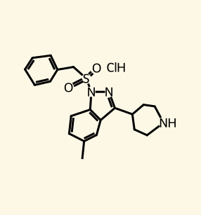 Cc1ccc2c(c1)c(C1CCNCC1)nn2S(=O)(=O)Cc1ccccc1.Cl